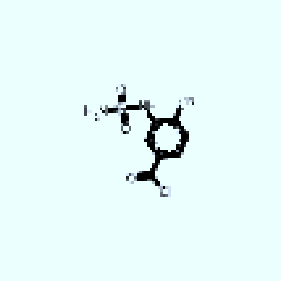 N#Cc1ccc(C(=O)Cl)cc1NS(N)(=O)=O